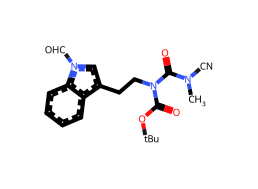 CN(C#N)C(=O)N(CCc1cn(C=O)c2ccccc12)C(=O)OC(C)(C)C